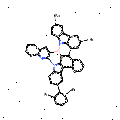 CC(C)c1cccc(C(C)C)c1-c1ccc2c(c1)c1c3ccccc3c3c4c1n2-c1nc2ccccc2cc1B4n1c2ccc(C(C)(C)C)cc2c2cc(C(C)(C)C)cc-3c21